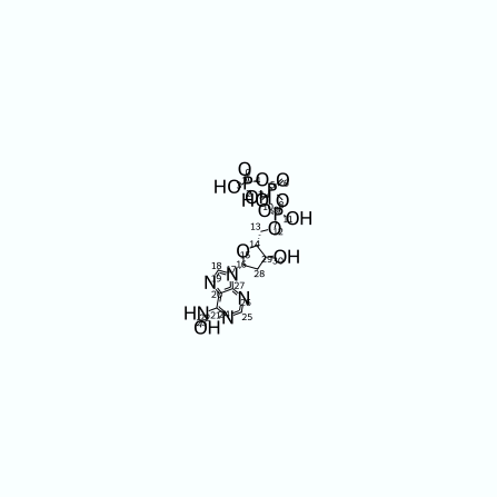 O=P(O)(O)OP(=O)(O)OP(=O)(O)OC[C@H]1O[C@@H](n2cnc3c(NO)ncnc32)C[C@@H]1O